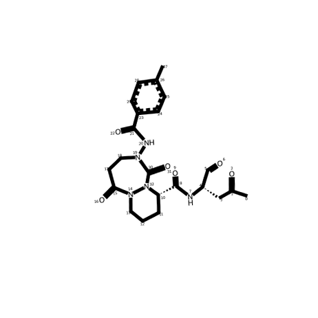 CC(=O)C[C@@H](C=O)NC(=O)[C@@H]1CCCN2C(=O)CCN(NC(=O)c3ccc(C)cc3)C(=O)N12